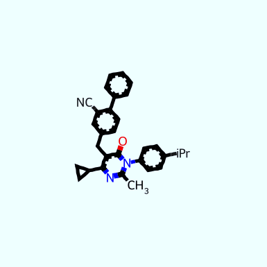 Cc1nc(C2CC2)c(Cc2ccc(-c3ccccc3)c(C#N)c2)c(=O)n1-c1ccc(C(C)C)cc1